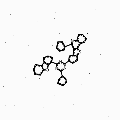 c1ccc(-c2nc(-c3ccc4sc5c6ccccc6nc(-c6ccccc6)c5c4c3)nc(-c3cccc4c3oc3ccccc34)n2)cc1